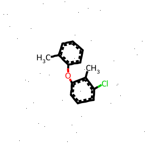 Cc1ccccc1Oc1cccc(Cl)c1C